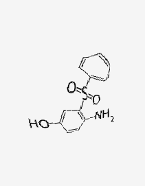 Nc1ccc(O)cc1S(=O)(=O)c1ccccc1